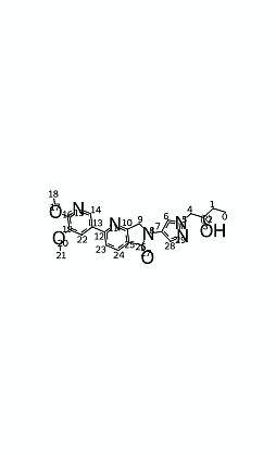 CC[C@@H](O)Cn1cc(N2Cc3nc(-c4cnc(OC)c(OC)c4)ccc3C2=O)cn1